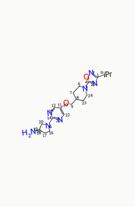 CC(C)c1noc(N2CCC(COc3cnc(N4CC[C@@H](N)C4)nc3)CC2)n1